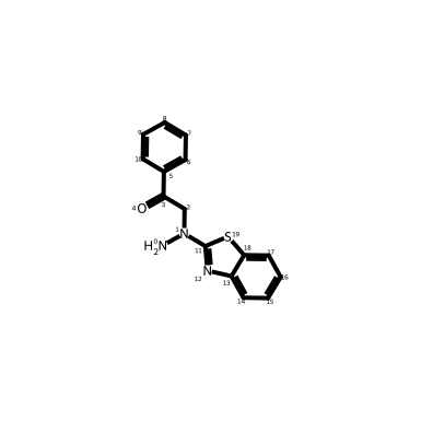 NN(CC(=O)c1ccccc1)c1nc2ccccc2s1